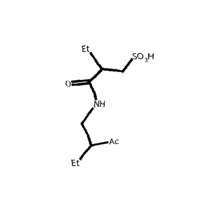 CCC(CNC(=O)C(CC)CS(=O)(=O)O)C(C)=O